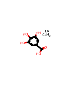 O=C(O)c1cc(O)c(O)c(O)c1.[CaH2].[La]